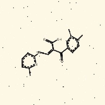 Cc1cccc(N/C=C(\C(=O)O)C(=O)c2ccc(C)c(C)c2)n1